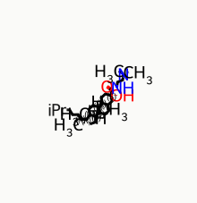 CC(C)CCC[C@@H](C)[C@H]1CC[C@H]2[C@@H]3CC=C4C[C@](O)(C(=O)NCCN(C)C)CC[C@]4(C)[C@H]3CC[C@]12C